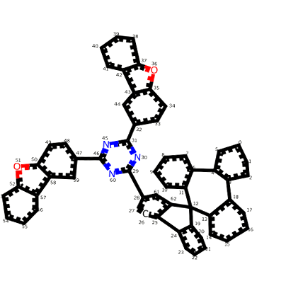 c1ccc2c(c1)-c1ccccc1C1(c3ccccc3-2)c2ccccc2-c2ccc(-c3nc(-c4ccc5oc6ccccc6c5c4)nc(-c4ccc5oc6ccccc6c5c4)n3)cc21